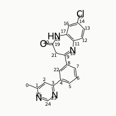 Cc1cc(-c2cccc(C3=Nc4ccc(Cl)cc4NC(=O)C3)c2)ncn1